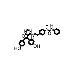 O=C(Nc1ccccc1)Nc1ccc(CCNc2ncnc3oc(-c4ccc(O)cc4)c(-c4ccc(O)cc4)c23)cc1